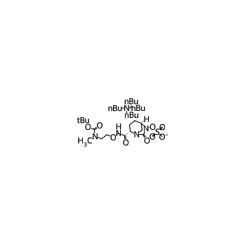 CCCC[N+](CCCC)(CCCC)CCCC.CN(CCONC(=O)[C@@H]1CC[C@@H]2CN1C(=O)N2OS(=O)(=O)[O-])C(=O)OC(C)(C)C